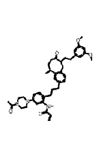 C=CC(=O)Nc1cc(N2CCN(C(C)=O)CC2)ccc1CCCc1ccc2c(c1)C(C)CCC(=O)C(CCc1cc(OC)cc(OC)c1)C2